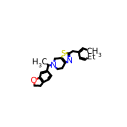 C/C=C(\C=C/CC)Cc1nc2c(s1)CN(C(C)c1ccc3c(c1)OCC3)CC2